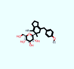 CCCC1=C2CCCC2=C(Cc2ccc(OCC)cc2)CC1(C)[C@@H]1O[C@H](CO)[C@@H](O)[C@H](O)[C@H]1O